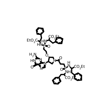 CCOC(=O)C(Cc1ccccc1)NP(=O)(CCO[C@@H]1CN(C(=O)CCP(=O)(NC(Cc2ccccc2)C(=O)OCC)NC(Cc2ccccc2)C(=O)OCC)CC1n1cnc2c(=O)[nH]c(N)nc21)NC(Cc1ccccc1)C(=O)OCC